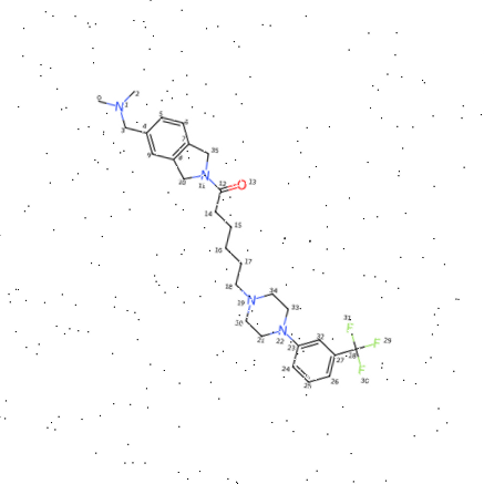 CN(C)Cc1ccc2c(c1)CN(C(=O)CCCCCN1CCN(c3cccc(C(F)(F)F)c3)CC1)C2